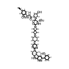 C#Cc1ccc(CNC(=O)[C@@H]2C[C@@H](O)CN2C(=O)[C@@H](NC(=O)N2CC3(CC(N4CCC(c5cnc(N6CCC7Nc8nnc(-c9ccccc9O)cc8C7[C@H]6C)nc5)CC4)C3)C2)C(C)(C)C)c(OC)c1